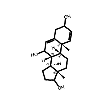 C[C@]12C=CC(O)CC1=CC(O)[C@@H]1[C@H]2CC[C@]2(C)C(O)CC[C@@H]12